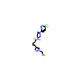 CC(C)Cn1cc(-c2ccc(C(=O)NC3CCN(c4ccc(Cl)nn4)C3)s2)cn1